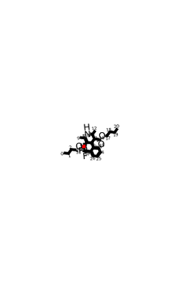 CCCCOC(=O)C1=C(C)NC(C)C(C(=O)OCCCC)C1c1ccccc1C(F)(F)F